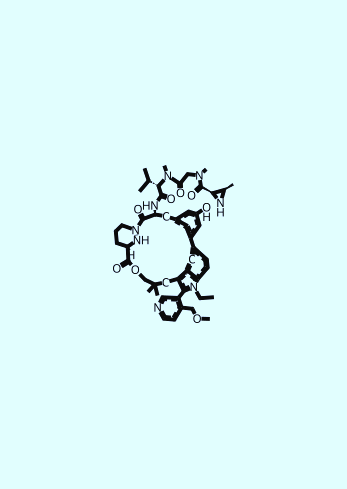 CCn1c(-c2cnccc2COC)c2c3cc(ccc31)-c1cc(O)cc(c1)C[C@H](NC(=O)[C@H](C(C)C)N(C)C(=O)CN(C)C(=O)[C@@H]1N[C@@H]1C)C(=O)N1CCC[C@H](N1)C(=O)OCC(C)(C)C2